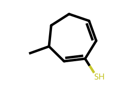 CC1C=C(S)C=CCC1